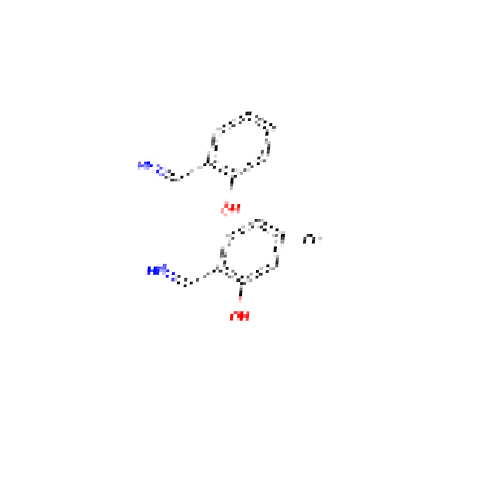 N=Cc1ccccc1O.N=Cc1ccccc1O.[Co]